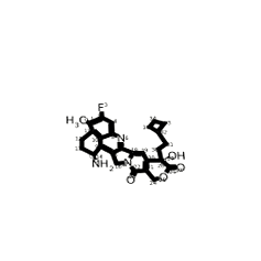 Cc1c(F)cc2nc3c(c4c2c1CC[C@@H]4N)Cn1c-3cc2c(c1=O)COC(=O)[C@]2(O)CCC1CCC1